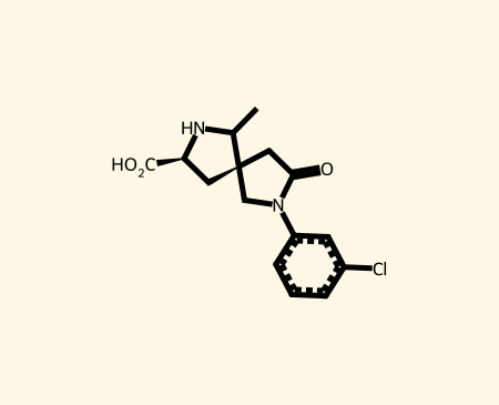 CC1N[C@H](C(=O)O)C[C@]12CC(=O)N(c1cccc(Cl)c1)C2